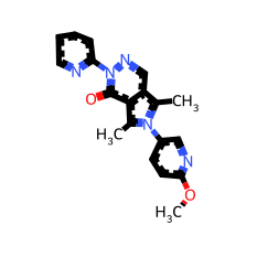 COc1ccc(-n2c(C)c3cnn(-c4ccccn4)c(=O)c3c2C)cn1